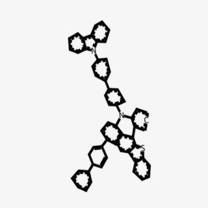 C1=CC(c2ccccc2)CC=C1c1ccc(N(c2ccc(-c3ccc(-n4c5ccccc5c5ccccc54)cc3)cc2)c2ccccc2-c2cccc3c2sc2ccccc23)cc1